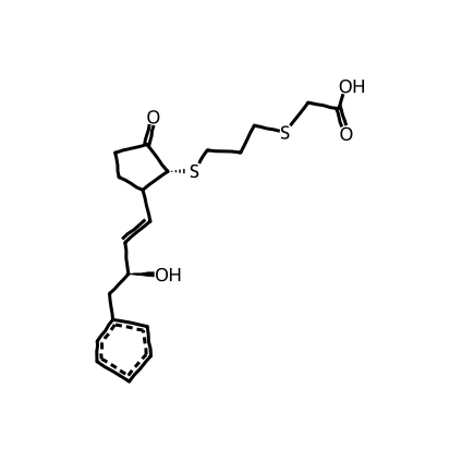 O=C(O)CSCCCS[C@H]1C(=O)CCC1C=C[C@@H](O)Cc1ccccc1